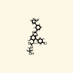 Cc1cc2nc(-c3cccc(-c4ccnn4C)c3)sc2c(-c2ccc(Cl)cc2)c1CC(=O)OCC(C)(C)O